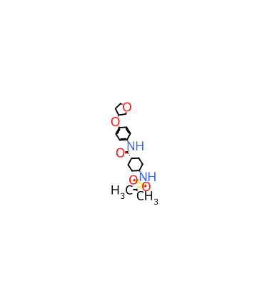 CC(C)S(=O)(=O)N[C@H]1CC[C@H](C(=O)Nc2ccc(OC3CCOC3)cc2)CC1